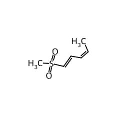 C/C=C\C=C\S(C)(=O)=O